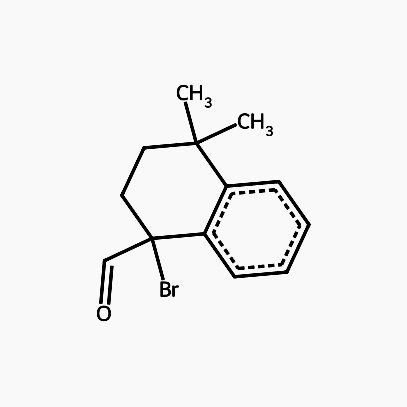 CC1(C)CCC(Br)(C=O)c2ccccc21